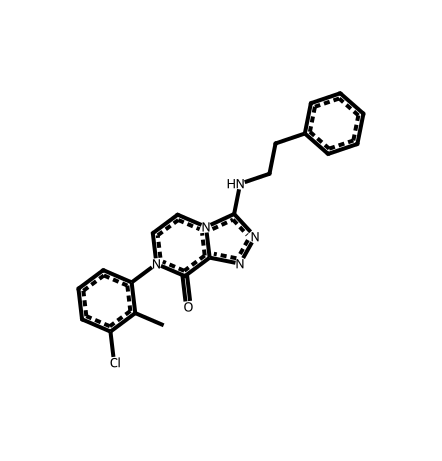 Cc1c(Cl)cccc1-n1ccn2c(NCCc3ccccc3)nnc2c1=O